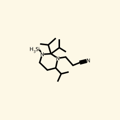 CC(C)C1CCN([SiH3])C(C(C)C)(C(C)C)N1CCC#N